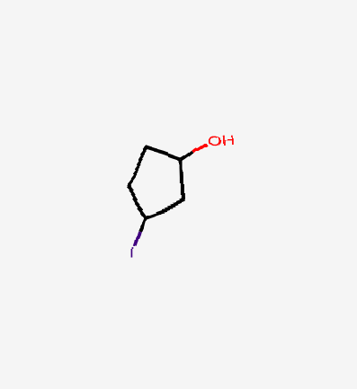 OC1CCC(I)C1